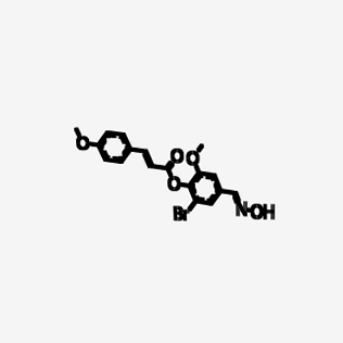 COc1ccc(/C=C/C(=O)Oc2c(Br)cc(/C=N/O)cc2OC)cc1